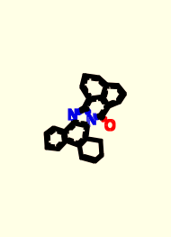 O=c1c2cccc3cccc(c32)c2nc3c4ccccc4c4c(c3n12)CCC=C4